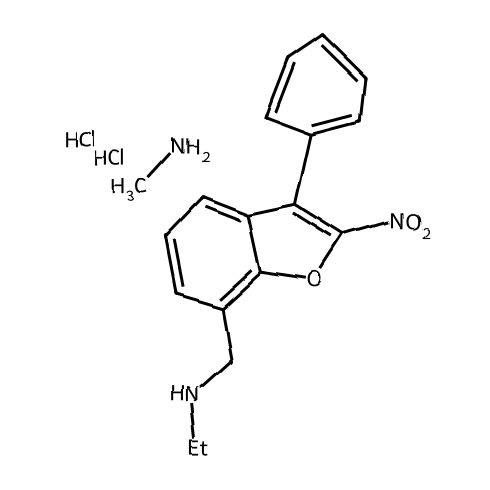 CCNCc1cccc2c(-c3ccccc3)c([N+](=O)[O-])oc12.CN.Cl.Cl